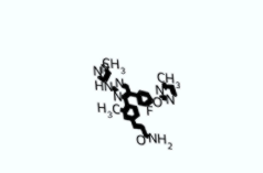 Cc1ccnc(Oc2ccc(-c3cnc(Nc4cnn(C)c4)nc3-c3ccc(C=CC(N)=O)cc3C)cc2F)n1